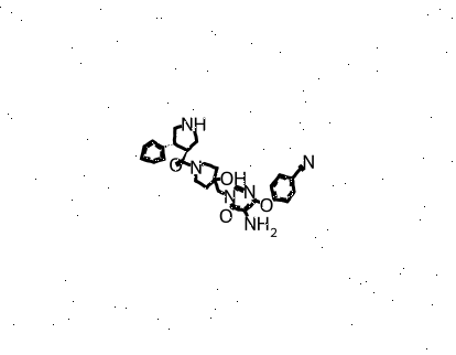 N#Cc1ccc(Oc2ncn(CC3(O)CCN(C(=O)[C@@H]4CCNC[C@H]4c4ccccc4)CC3)c(=O)c2N)cc1